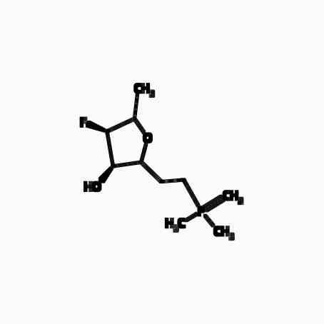 C=P(C)(C)CCC1OC(C)[C@H](F)[C@@H]1O